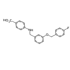 O=C(O)c1ccc(NCc2cccc(OCc3ccc(F)cc3)c2)cc1